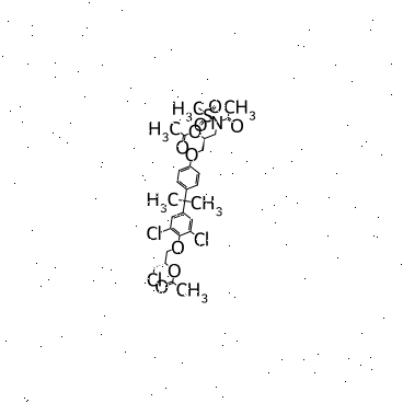 CC(=O)O[C@H](CCl)COc1c(Cl)cc(C(C)(C)c2ccc(OC[C@H](CN(C(C)=O)S(C)(=O)=O)OC(C)=O)cc2)cc1Cl